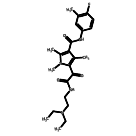 CCN(CC)CCNC(=O)C(=O)c1c(C)c(C(=O)Nc2ccc(F)c(C)c2)c(C)n1C